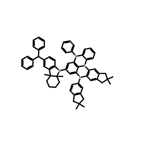 CC1(C)Cc2ccc(N3c4cc5c(cc4B4c6ccccc6N(c6ccccc6)c6cc(N7c8ccc(C(c9ccccc9)c9ccccc9)cc8C8(C)CCCCC78C)cc3c64)CC(C)(C)C5)cc2C1